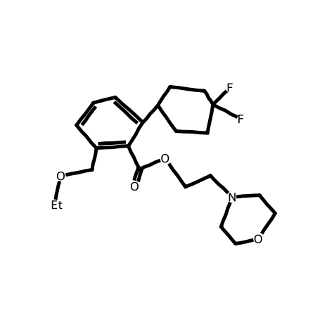 CCOCc1cccc(C2CCC(F)(F)CC2)c1C(=O)OCCN1CCOCC1